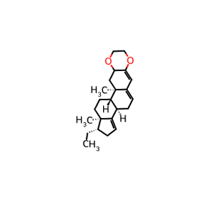 CC[C@H]1CC=C2[C@@H]3CC=C4C=C5OCCOC5C[C@]4(C)[C@H]3CC[C@@]21C